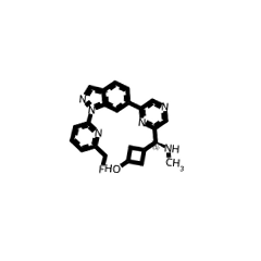 CN[C@H](c1cncc(-c2ccc3cnn(-c4cccc(CF)n4)c3c2)n1)C1CC(O)C1